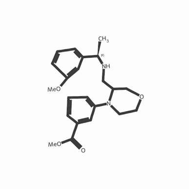 COC(=O)c1cccc(N2CCOCC2CN[C@H](C)c2cccc(OC)c2)c1